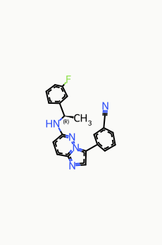 C[C@@H](Nc1ccc2ncc(-c3cccc(C#N)c3)n2n1)c1cccc(F)c1